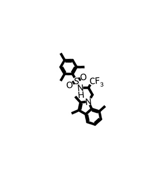 Cc1cc(C)c(S(=O)(=O)NC(Cn2c(C)c(C)c3cccc(C)c32)C(F)(F)F)c(C)c1